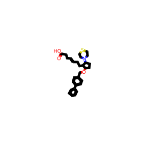 O=C(O)CC/C=C/CCC1C(OCc2ccc(-c3ccccc3)cc2)CCC1N1CCSCC1